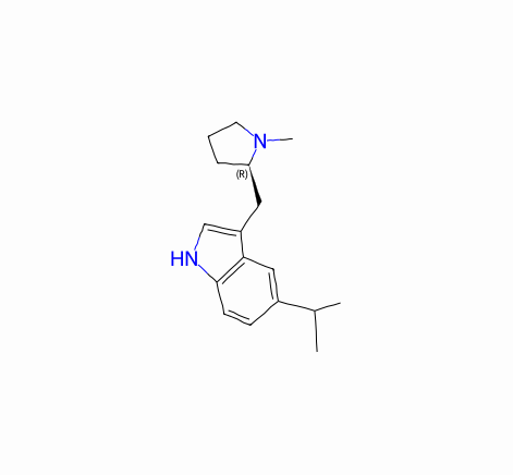 CC(C)c1ccc2[nH]cc(C[C@H]3CCCN3C)c2c1